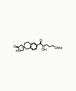 COCCCN(O)C(=O)c1ccc2c(c1)CC[C@]1(CNC(=O)C1)C2